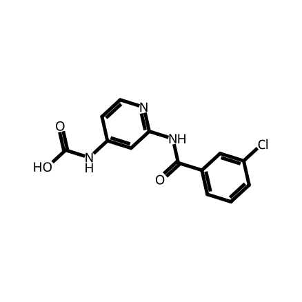 O=C(O)Nc1ccnc(NC(=O)c2cccc(Cl)c2)c1